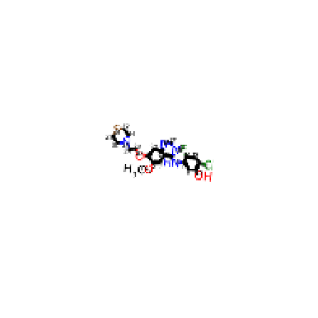 COc1cc2c(Nc3cc(O)c(Cl)cc3F)ncnc2cc1OCCN1CCSCC1